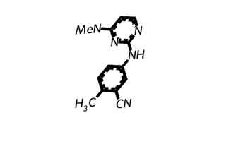 CNc1ccnc(Nc2ccc(C)c(C#N)c2)n1